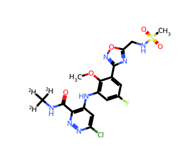 [2H]C([2H])([2H])NC(=O)c1nnc(Cl)cc1Nc1cc(F)cc(-c2noc(CNS(C)(=O)=O)n2)c1OC